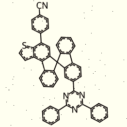 N#Cc1ccc(-c2cc3c(c4ccsc24)-c2ccccc2C32c3ccccc3-c3ccc(-c4nc(-c5ccccc5)nc(-c5ccccc5)n4)cc32)cc1